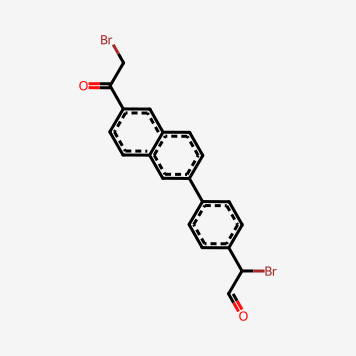 O=CC(Br)c1ccc(-c2ccc3cc(C(=O)CBr)ccc3c2)cc1